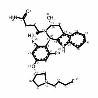 C=C(CCC(N)=O)N1[C@H](c2c(F)cc(O[C@H]3CCN(CCCF)C3)cc2F)c2[nH]c3ccccc3c2C[C@H]1C